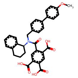 COc1ccc(-c2ccc(CN(C(=O)c3cc(C(=O)O)c(C(=O)O)cc3C(=O)O)[C@H]3CCCc4ccccc43)cc2)cc1